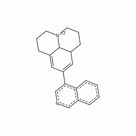 [O-][N+]12CCCC3=CC(c4cncc5ccccc45)=CC(CCC1)C32